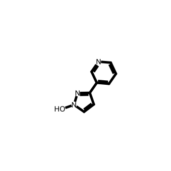 On1ccc(-c2cccnc2)n1